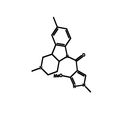 COc1nn(C)cc1C(=O)N1c2ccc(C)cc2C2CN(C)CCC21